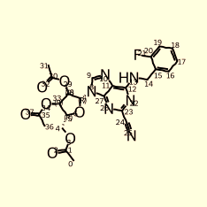 CC(=O)OC[C@H]1O[C@@H](n2cnc3c(NCc4ccccc4F)nc(C#N)nc32)[C@H](OC(C)=O)[C@@H]1OC(C)=O